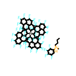 CCCC[PH+](C)c1cc(F)c(F)c(F)c1F.Fc1c(F)c2c(F)c(F)c3c(F)c(F)c([B-](c4c(F)c(F)c5c(F)c(F)c6c(F)c(F)c(F)c7c(F)c(F)c4c5c67)(c4c(F)c(F)c5c(F)c(F)c6c(F)c(F)c(F)c7c(F)c(F)c4c5c67)c4c(F)c(F)c5c(F)c(F)c6c(F)c(F)c(F)c7c(F)c(F)c4c5c67)c4c(F)c(F)c(c1F)c2c34